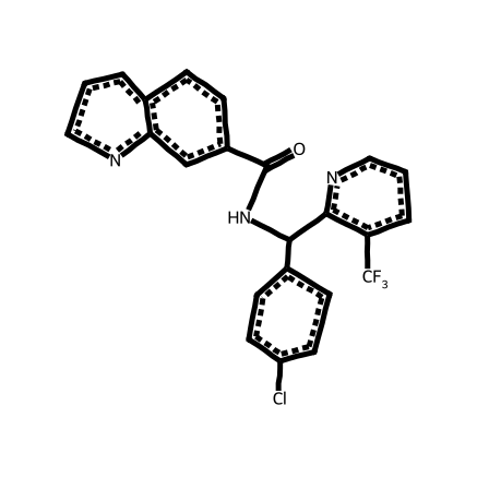 O=C(NC(c1ccc(Cl)cc1)c1ncccc1C(F)(F)F)c1ccc2cccnc2c1